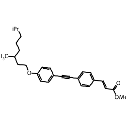 COC(=O)C=Cc1ccc(C#Cc2ccc(OCCC(C)CCCC(C)C)cc2)cc1